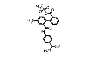 CS(=O)(=O)OC(=O)c1ccccc1-c1ccc(N)cc1C(=O)Nc1ccc(C(=N)N)cc1